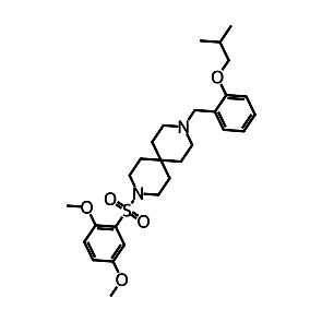 COc1ccc(OC)c(S(=O)(=O)N2CCC3(CCN(Cc4ccccc4OCC(C)C)CC3)CC2)c1